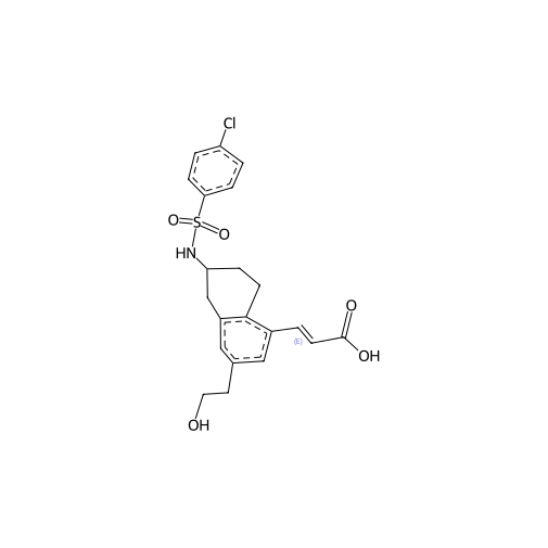 O=C(O)/C=C/c1cc(CCO)cc2c1CCC(NS(=O)(=O)c1ccc(Cl)cc1)C2